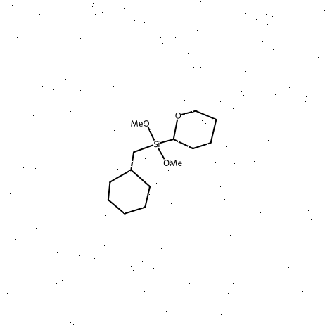 CO[Si](CC1CCCCC1)(OC)C1CCCCO1